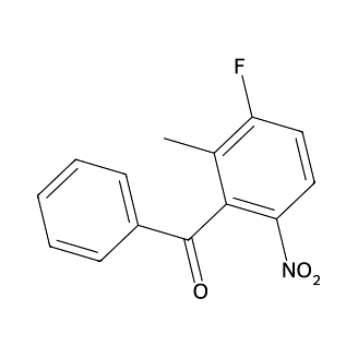 Cc1c(F)ccc([N+](=O)[O-])c1C(=O)c1ccccc1